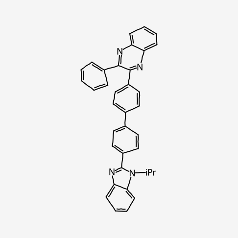 CC(C)n1c(-c2ccc(-c3ccc(-c4nc5ccccc5nc4-c4ccccc4)cc3)cc2)nc2ccccc21